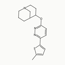 Cc1ccc(-c2ccc(OC3CCN4CCCC3C4)nn2)s1